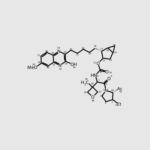 CCC1CCN(C(=O)C(NC(=O)OC2CC3CC3[C@H]2CCCCCc2nc3ccc(OC)cc3nc2O)C2(C)COC2)[C@@H]1C(C)=O